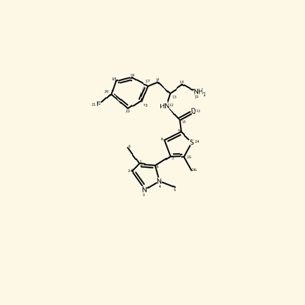 Cc1cnn(C)c1-c1cc(C(=O)NC(CN)Cc2ccc(F)cc2)sc1C